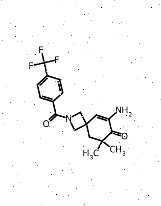 CC1(C)CC2(C=C(N)C1=O)CN(C(=O)c1ccc(C(F)(F)F)cc1)C2